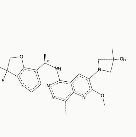 COc1nc2c(C)nnc(N[C@H](C)c3cccc4c3OCC4(F)F)c2cc1N1CC(C)(O)C1